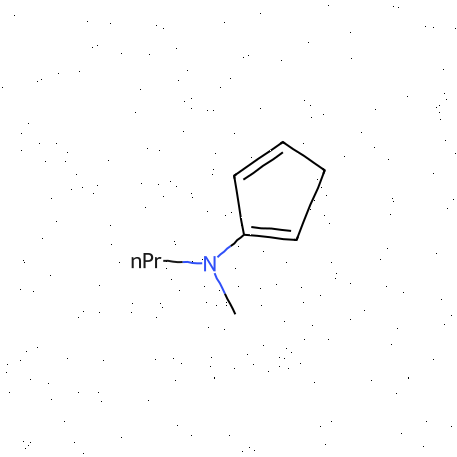 CCCN(C)C1=CCC=C1